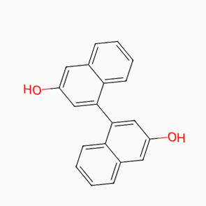 Oc1cc(-c2cc(O)cc3ccccc23)c2ccccc2c1